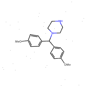 COc1ccc(C(c2ccc(OC)cc2)N2CCNCC2)cc1